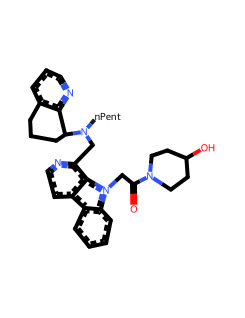 CCCCCN(Cc1nccc2c3ccccc3n(CC(=O)N3CCC(O)CC3)c12)C1CCCc2cccnc21